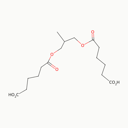 CC(COC(=O)CCCCC(=O)O)COC(=O)CCCCC(=O)O